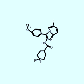 O=C(Nc1nc2ccc(F)cn2c1-c1ccc(OC(F)(F)F)cc1)C1CCC(F)(F)CC1